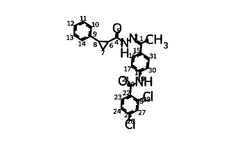 CC(=NNC(=O)C1CC1c1ccccc1)c1ccc(NC(=O)c2ccc(Cl)cc2Cl)cc1